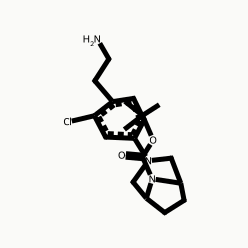 CC(C)(C)OC(=O)N1C2CCC1CN(c1ccc(CCN)c(Cl)c1)C2